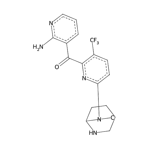 Nc1ncccc1C(=O)c1nc(N2CC3CCC(C2)NC3)ccc1C(F)(F)F